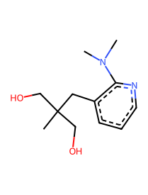 CN(C)c1ncccc1CC(C)(CO)CO